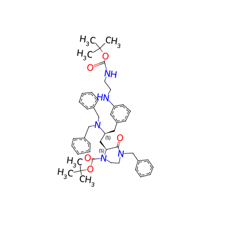 CC(C)(C)OC(=O)NCCNc1cccc(C[C@@H](C[C@H]2C(=O)N(Cc3ccccc3)CCN2C(=O)OC(C)(C)C)N(Cc2ccccc2)Cc2ccccc2)c1